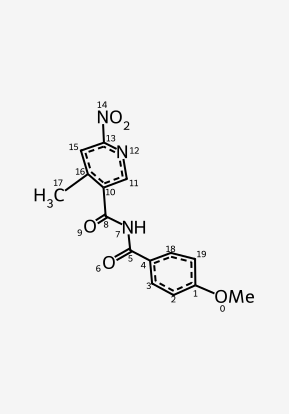 COc1ccc(C(=O)NC(=O)c2cnc([N+](=O)[O-])cc2C)cc1